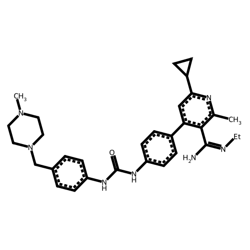 CC/N=C(/N)c1c(-c2ccc(NC(=O)Nc3ccc(CN4CCN(C)CC4)cc3)cc2)cc(C2CC2)nc1C